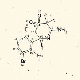 CC1(C)C(N)=N[C@](C)(c2c(F)ccc(Br)c2F)CS1(=O)=O